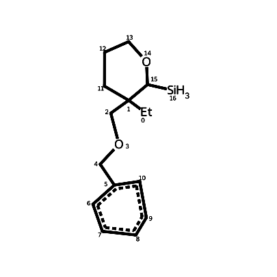 CCC1(COCc2ccccc2)CCCOC1[SiH3]